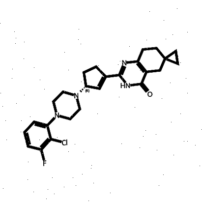 O=c1[nH]c(C2=C[C@H](N3CCN(c4cccc(F)c4Cl)CC3)CC2)nc2c1CC1(CC2)CC1